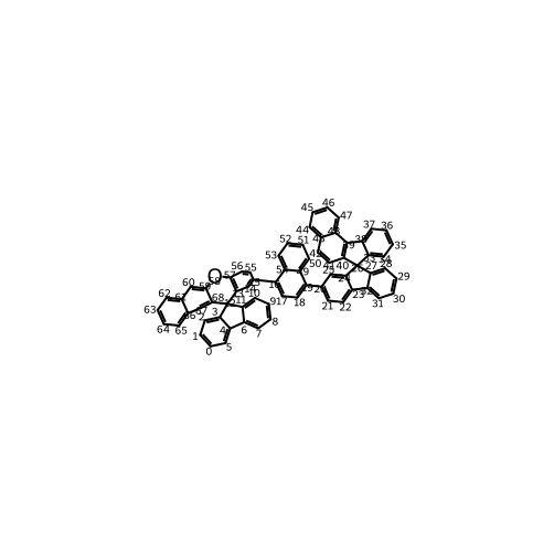 c1ccc2c(c1)-c1ccccc1C21c2cc(-c3ccc(-c4ccc5c(c4)C4(c6ccccc6-5)c5ccccc5-c5c4ccc4ccccc54)c4ccccc34)ccc2Oc2cc3ccccc3cc21